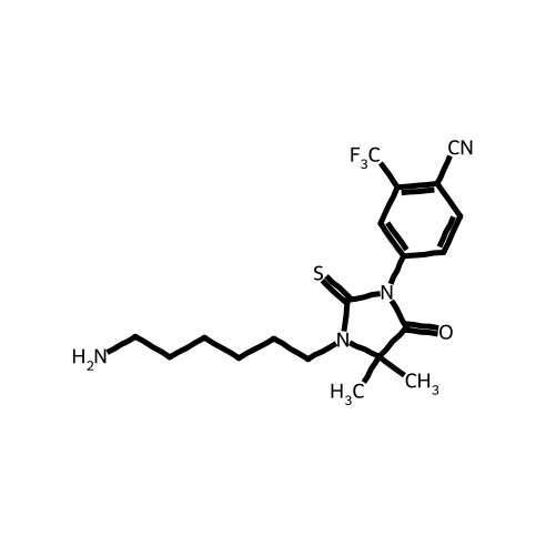 CC1(C)C(=O)N(c2ccc(C#N)c(C(F)(F)F)c2)C(=S)N1CCCCCCN